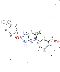 O=C(O)[C@H]1CC[C@H](Oc2nc3cc(Cl)c(-c4cccc(CO)c4)nc3[nH]2)CC1